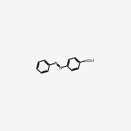 CCCCCCCCc1ccc(/N=N/c2ccccc2)cc1